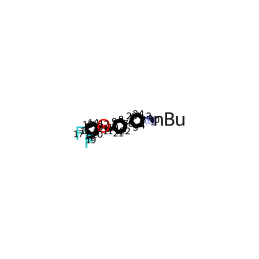 CCCC/C=C/[C@H]1CC[C@H](C2CCC(COc3ccc(F)c(F)c3)CC2)CC1